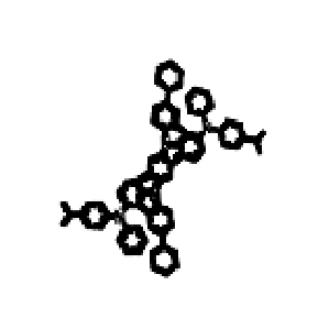 CC(C)c1ccc(N(c2ccccc2)c2ccc3c4cc5c(cc4n4c6ccc(C7CCCCC7)cc6c2c34)c2ccc(N(c3ccccc3)c3ccc(C(C)C)cc3)c3c4cc(C6CCCCC6)ccc4n5c23)cc1